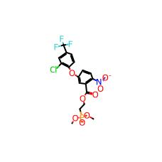 COP(=O)(CCOC(=O)c1cc(Oc2ccc(C(F)(F)F)cc2Cl)ccc1[N+](=O)[O-])OC